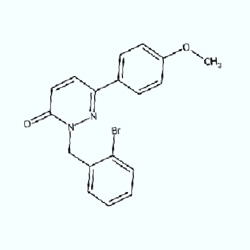 COc1ccc(-c2ccc(=O)n(Cc3ccccc3Br)n2)cc1